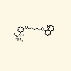 NC(=S)Nc1cccc(OCCCCCOc2cccc3cccnc23)c1